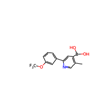 Cc1cnc(-c2cccc(OC(F)(F)F)c2)cc1B(O)O